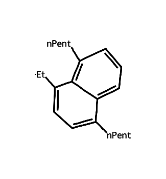 C[CH]c1ccc(CCCCC)c2cccc(CCCCC)c12